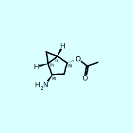 CC(=O)O[C@@H]1C[C@@H](N)[C@@H]2C[C@@H]21